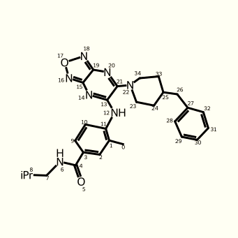 Cc1cc(C(=O)NCC(C)C)ccc1Nc1nc2nonc2nc1N1CCC(Cc2ccccc2)CC1